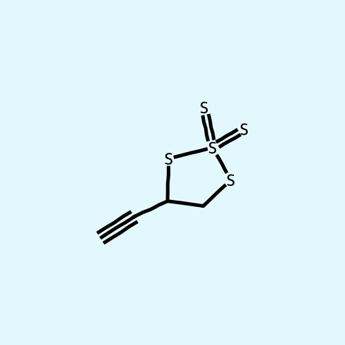 C#CC1CSS(=S)(=S)S1